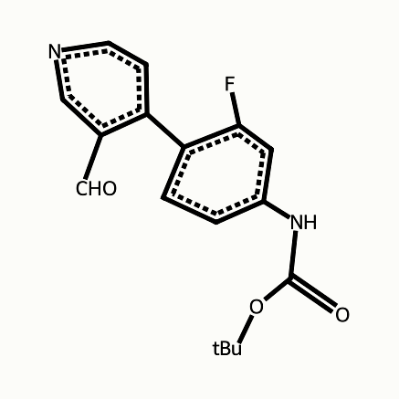 CC(C)(C)OC(=O)Nc1ccc(-c2ccncc2C=O)c(F)c1